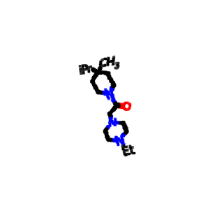 CCN1CCN(CC(=O)N2CCC(C)(C(C)C)CC2)CC1